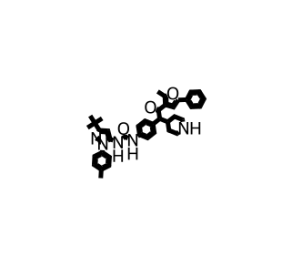 Cc1ccc(-n2nc(C(C)(C)C)cc2NC(=O)Nc2ccc(C(C(=O)c3cc(-c4ccccc4)oc3C)C3CCNCC3)cc2)cc1